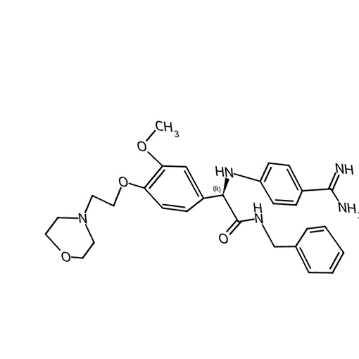 COc1cc([C@@H](Nc2ccc(C(=N)N)cc2)C(=O)NCc2ccccc2)ccc1OCCN1CCOCC1